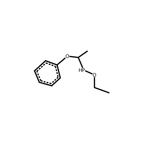 CCOPC(C)Oc1ccccc1